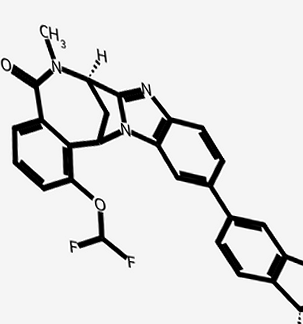 CN1C(=O)c2cccc(OC(F)F)c2C2C[C@@H]1c1nc3ccc(-c4ccc5c(c4)OC[C@@H]5N)cc3n12